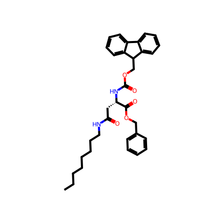 CCCCCCCCNC(=O)C[C@H](NC(=O)OCC1c2ccccc2-c2ccccc21)C(=O)OCc1ccccc1